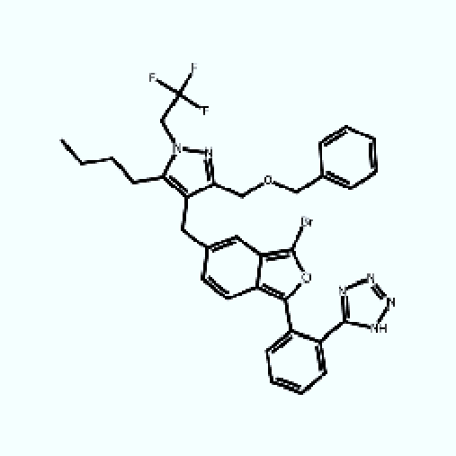 CCCCc1c(Cc2ccc3c(-c4ccccc4-c4nnn[nH]4)oc(Br)c3c2)c(COCc2ccccc2)nn1CC(F)(F)F